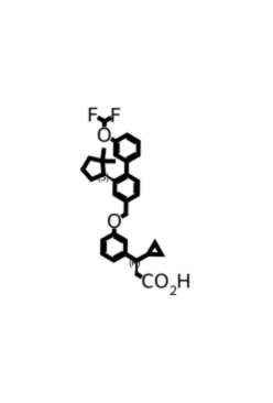 CC1(C)CCC[C@@H]1c1cc(COc2cccc([C@H](CC(=O)O)C3CC3)c2)ccc1-c1cccc(OC(F)F)c1